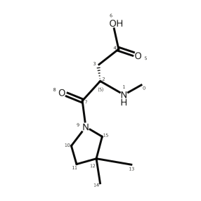 CN[C@@H](CC(=O)O)C(=O)N1CCC(C)(C)C1